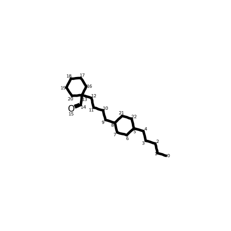 CCCCCC1CCC(CCCCC2(C=O)CCCCC2)CC1